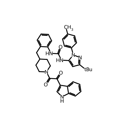 Cc1ccc(-n2nc(C(C)(C)C)cc2NC(=O)Nc2ccccc2CC2CCN(C(=O)C(=O)c3c[nH]c4ccccc34)CC2)cc1